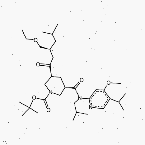 CCOC[C@H](CC(=O)[C@H]1C[C@@H](C(=O)N(CC(C)C)c2cc(OC)c(C(C)C)cn2)CN(C(=O)OC(C)(C)C)C1)CC(C)C